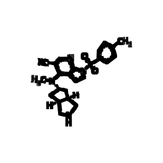 Cc1ccc(S(=O)(=O)n2ccc3c(N(C)[C@@H]4C[C@H]5CNC[C@H]5C4)c(C#N)cnc32)cc1